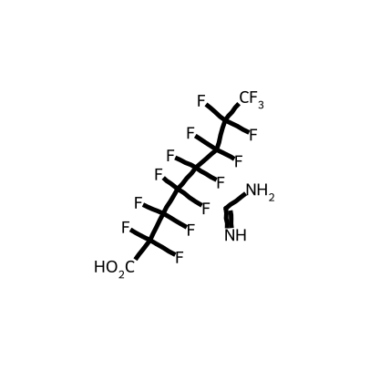 N=CN.O=C(O)C(F)(F)C(F)(F)C(F)(F)C(F)(F)C(F)(F)C(F)(F)C(F)(F)F